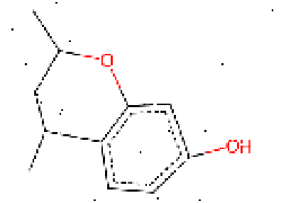 CC1CC(C)c2ccc(O)cc2O1